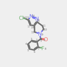 O=C(c1ccccc1F)N1CCc2nnc(Cl)cc2C1